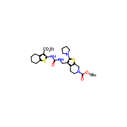 CCOC(=O)c1c(NC(=O)NCc2c(N3CCCC3)sc3c2CCN(C(=O)OC(C)(C)C)C3)sc2c1CCCC2